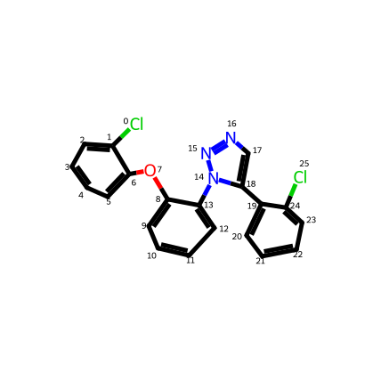 Clc1ccccc1Oc1ccccc1-n1nncc1-c1ccccc1Cl